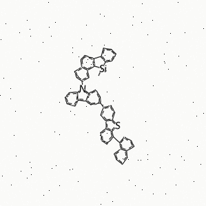 C[Si]1(C)c2ccccc2-c2ccc3ccc(-n4c5ccccc5c5cc(-c6ccc7sc8c(-c9cccc%10ccccc9%10)cccc8c7c6)ccc54)cc3c21